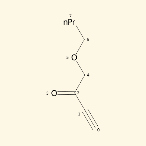 C#CC(=O)COCCCC